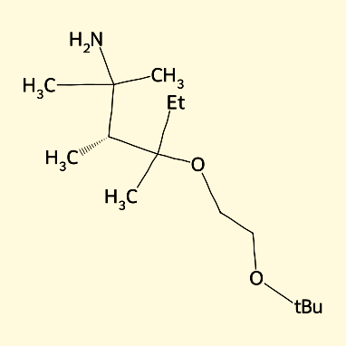 CCC(C)(OCCOC(C)(C)C)[C@H](C)C(C)(C)N